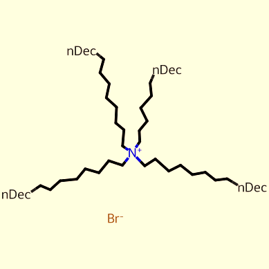 CCCCCCCCCCCCCCCCCC[N+](CCCCCCCCCCCCCCCC)(CCCCCCCCCCCCCCCCCC)CCCCCCCCCCCCCCCCCC.[Br-]